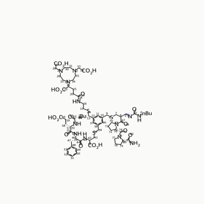 CCCCNC(=O)/N=C/C(CSCc1cc(CSCCNC(=O)CCC(C(=O)O)N2CCN(CC(=O)O)CCN(CC(=O)O)CC2)cc(CSCC(NC(=O)[C@H](Cc2ccccc2)NC(=O)[C@H](CCC(=O)O)NC(=O)[C@@H](C)CC)C(=O)O)c1)C(=O)N1CCC[C@H]1C(=O)N1CCC[C@H]1C(N)=O